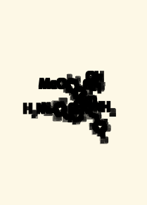 COc1ccc2ccc(S(=O)(=O)N(C(CCc3ccc(C)cc3)C(N)=O)[C@H]3CCN(Cc4cccc(C=NN)c4)C3=O)cc2c1.O=C(O)C(F)(F)F